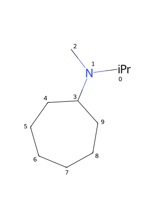 CC(C)N(C)C1CCCCCC1